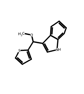 COC(c1cccs1)c1c[nH]c2ccccc12